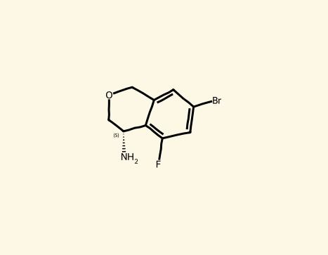 N[C@@H]1COCc2cc(Br)cc(F)c21